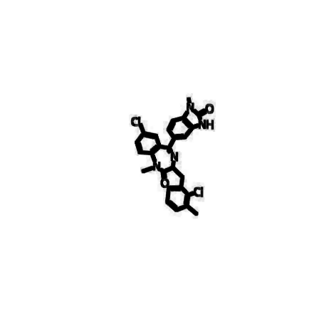 Cc1cccc(CC2N=C(c3ccc4c(c3)[nH]c(=O)n4C)c3cc(Cl)ccc3N(C)C2=O)c1Cl